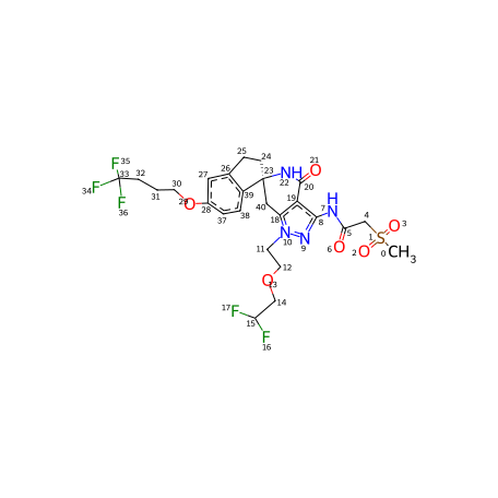 CS(=O)(=O)CC(=O)Nc1nn(CCOCC(F)F)c2c1C(=O)N[C@@]1(CCc3cc(OCCCC(F)(F)F)ccc31)C2